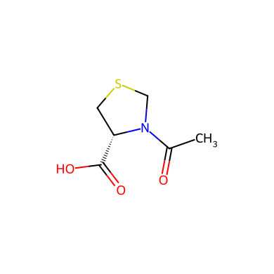 CC(=O)N1CSC[C@H]1C(=O)O